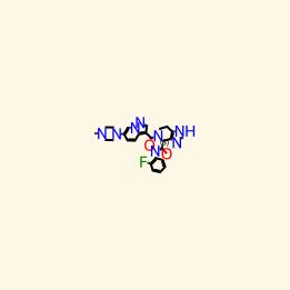 CN1CCN(c2ccc3c(C(=O)N4CCc5[nH]cnc5[C@H]4c4nc5c(F)cccc5o4)cnn3c2)CC1